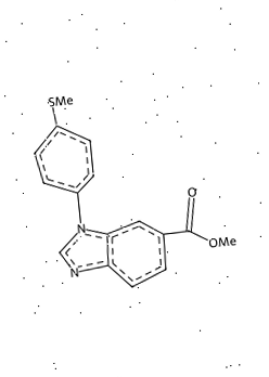 COC(=O)c1ccc2ncn(-c3ccc(SC)cc3)c2c1